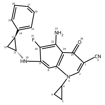 N#Cc1cn(C2CC2)c2cc(N[C@@H]3C[C@H]3c3ccccc3)c(F)c(N)c2c1=O